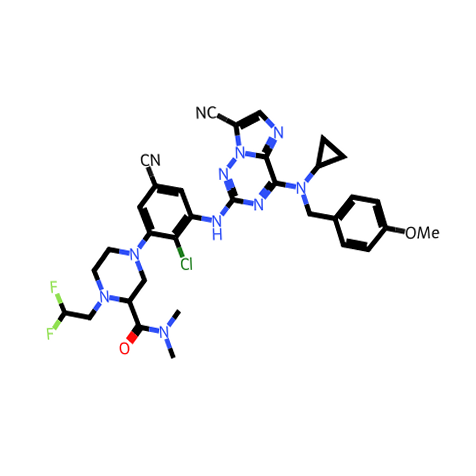 COc1ccc(CN(c2nc(Nc3cc(C#N)cc(N4CCN(CC(F)F)C(C(=O)N(C)C)C4)c3Cl)nn3c(C#N)cnc23)C2CC2)cc1